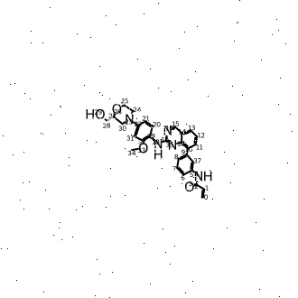 C=CC(=O)Nc1cccc(-c2cccc3cnc(Nc4ccc(N5CCO[C@@H](CO)C5)cc4OC)nc23)c1